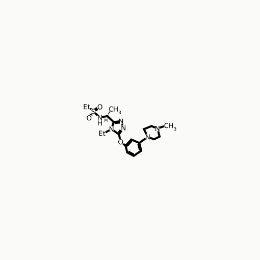 CCn1c(Oc2cccc(N3CCN(C)CC3)c2)nnc1[C@@H](C)NS(=O)(=O)CC